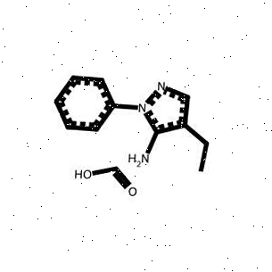 CCc1cnn(-c2ccccc2)c1N.O=CO